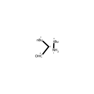 CC(C)(C)N.CCCCCC=O